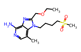 CCOCc1nc2c(N)ncc(C)c2n1CCCCS(C)(=O)=O